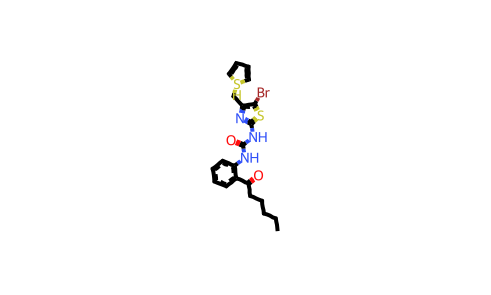 CCCCCC(=O)c1ccccc1NC(=O)Nc1nc(C[SH]2C=CC=C2)c(Br)s1